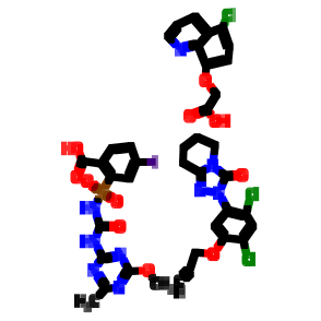 C#CCOc1cc(-n2nc3n(c2=O)CCCC3)c(Cl)cc1Cl.COc1nc(C)nc(NC(=O)NS(=O)(=O)c2cc(I)ccc2C(=O)O)n1.O=C(O)COc1ccc(Cl)c2cccnc12